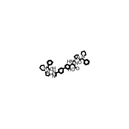 O=C(O)c1nc([C@@H]2CCCN2C(=O)C(c2ccccc2)N2CCCCC2)[nH]c1-c1ccc(-c2ccc(-c3cnc([C@@H]4CCCN4C(=O)C(c4ccccc4)N4CCCCC4)[nH]3)cc2)cc1